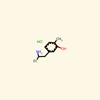 CCC(N)Cc1ccc(C)c(O)c1.Cl